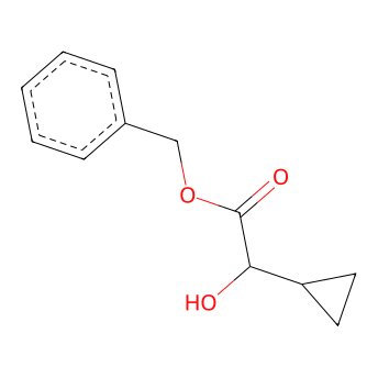 O=C(OCc1ccccc1)C(O)C1CC1